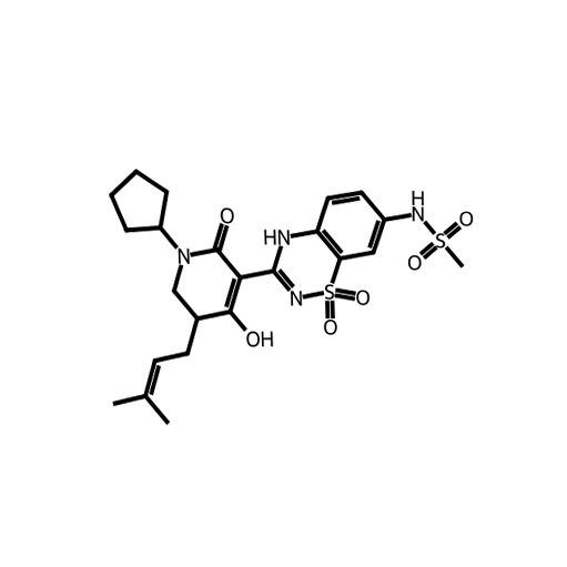 CC(C)=CCC1CN(C2CCCC2)C(=O)C(C2=NS(=O)(=O)c3cc(NS(C)(=O)=O)ccc3N2)=C1O